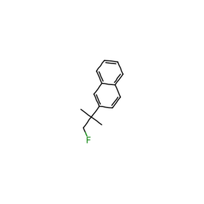 CC(C)(CF)c1ccc2ccccc2c1